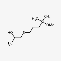 CO[Si](C)(C)CCCSCC(C)O